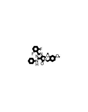 COc1ccc(CN2Cc3nc(-c4c(F)cccc4F)nc(Nc4ccccc4)c3C2=O)c(OC)c1